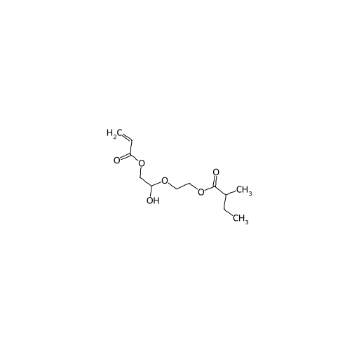 C=CC(=O)OCC(O)OCCOC(=O)C(C)CC